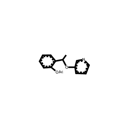 CC(=O)Oc1ccccc1C(C)Oc1cccnc1